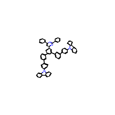 c1ccc(-c2cc(-c3cc(-c4cccc(-c5ccc(-n6c7ccccc7c7ccccc76)cc5)c4)cc(-c4cccc(-c5ccc(-n6c7ccccc7c7ccccc76)cc5)c4)c3)nc(-c3ccccc3)n2)cc1